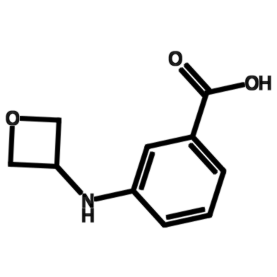 O=C(O)c1cccc(NC2COC2)c1